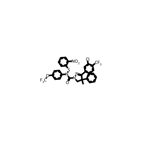 CC1(c2ccccc2)CN(C(=O)N(Sc2ccccc2[N+](=O)[O-])c2ccc(OC(F)(F)F)cc2)N=C1c1ccc(C(F)(F)F)c(Cl)c1